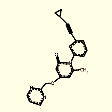 Cc1cc(OCc2ncccn2)cc(=O)n1-c1cccc(C#CC2CC2)c1